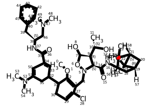 COC1=C(CN2OC(O)[C@@H]([C@H](C)O)[C@H]2C(=O)N[C@H]2C[C@H]3C[C@@H]([C@@H]2C)C3(C)C)C(Cl)=CCC1C1C=C(C(=O)N[C@@H](Cc2ccccc2)CN(C)C)C=C(N(C)C)C1